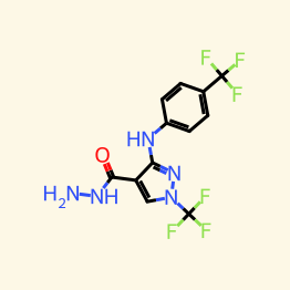 NNC(=O)c1cn(C(F)(F)F)nc1Nc1ccc(C(F)(F)F)cc1